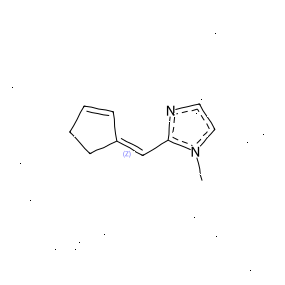 Cn1ccnc1/C=C1\C=CCC1